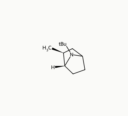 C[C@H]1CC2CC[C@H]1N2C(C)(C)C